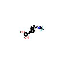 CC(CCN1CC(C(C)(F)F)C1)[C@H]1CC[C@H]2C(=CC=C3C[C@@H](O)C[C@H](O)C3)CCC[C@]12C